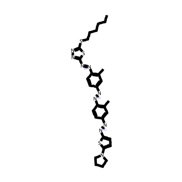 CCCCCCSc1nnc(/N=N/c2ccc(/N=N/c3ccc(/N=N/c4ccc(N5CCCC5)s4)cc3C)cc2C)s1